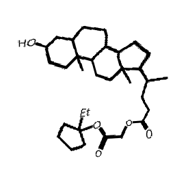 CCC1(OC(=O)COC(=O)CCC(C)C2CCC3C4CCC5CC(O)CCC5(C)C4CCC23C)CCCC1